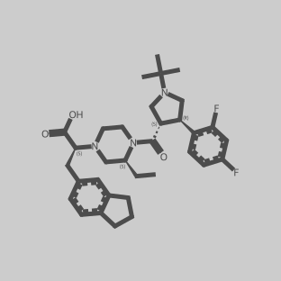 CC[C@H]1CN([C@@H](Cc2ccc3c(c2)CCC3)C(=O)O)CCN1C(=O)[C@@H]1CN(C(C)(C)C)C[C@H]1c1ccc(F)cc1F